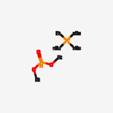 CCCC[P+](CC)(CCCC)CCCC.CCO[PH](=O)OCC